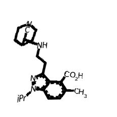 Cc1ccc2c(c(CCNC3CN4CCC3CC4)nn2C(C)C)c1C(=O)O